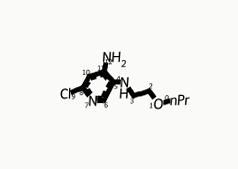 CCCOCCNc1cnc(Cl)cc1N